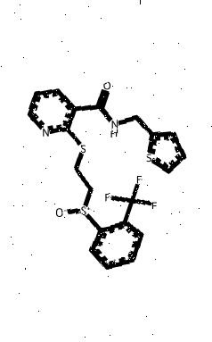 O=C(NCc1cccs1)c1cccnc1SCC[S+]([O-])c1ccccc1C(F)(F)F